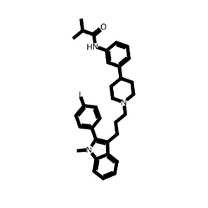 CC(C)C(=O)Nc1cccc(C2CCN(CCCc3c(-c4ccc(I)cc4)n(C)c4ccccc34)CC2)c1